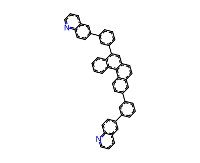 c1cc(-c2ccc3ncccc3c2)cc(-c2ccc3c(ccc4cc(-c5cccc(-c6ccc7ncccc7c6)c5)c5ccccc5c43)c2)c1